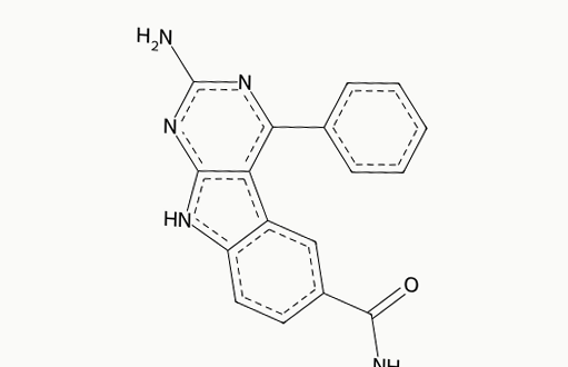 NC(=O)c1ccc2[nH]c3nc(N)nc(-c4ccccc4)c3c2c1